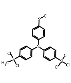 CS(Cl)(Cl)c1ccc(N(c2ccc(SCl)cc2)c2ccc([Si](Cl)(Cl)Cl)cc2)cc1